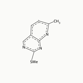 CSc1ncc2c[c]c(C)nc2n1